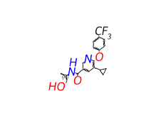 C[C@H](CO)NC(=O)c1cnc(Oc2ccc(C(F)(F)F)cc2)c(C2CC2)c1